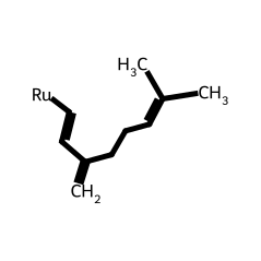 C=C(C=[CH][Ru])CCC=C(C)C